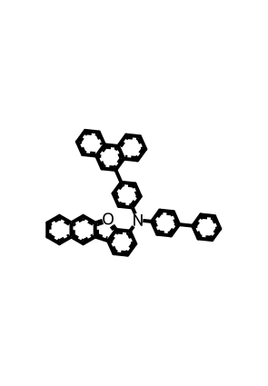 c1ccc(-c2ccc(N(c3ccc(-c4cc5ccccc5c5ccccc45)cc3)c3cccc4c3oc3cc5ccccc5cc34)cc2)cc1